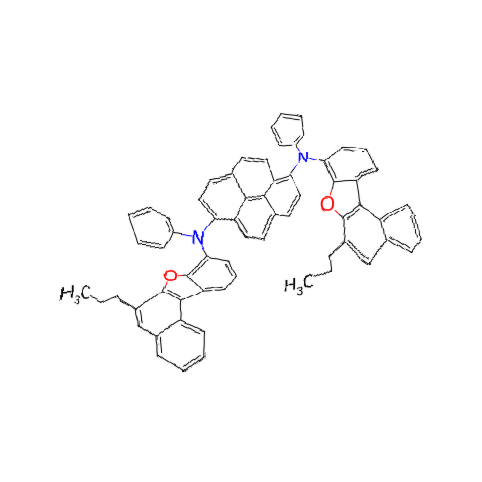 CCCc1cc2ccccc2c2c1oc1c(N(c3ccccc3)c3ccc4ccc5c(N(c6ccccc6)c6cccc7c6oc6c(CCC)cc8ccccc8c67)ccc6ccc3c4c65)cccc12